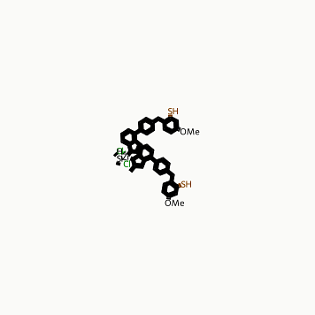 COc1ccc(Cc2ccc(-c3cccc4c3C=C(C)[CH]4[Zr]([Cl])([Cl])([CH]3C(C)=Cc4c(-c5ccc(Cc6ccc(OC)cc6S)cc5)cccc43)[SiH](C)C)cc2)c(S)c1